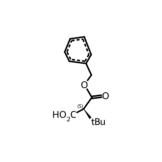 CC(C)(C)[C@@H](C(=O)O)C(=O)OCc1ccccc1